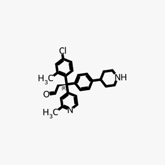 Cc1cc([C@@](CC=O)(c2ccc(C3CCNCC3)cc2)c2ccc(Cl)cc2C)ccn1